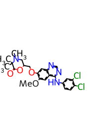 COc1cc2c(Nc3ccc(Cl)c(Cl)c3)ncnc2cc1OCC1CN(C)C(C)(C)C(=O)O1